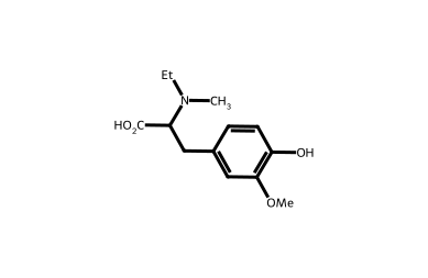 CCN(C)C(Cc1ccc(O)c(OC)c1)C(=O)O